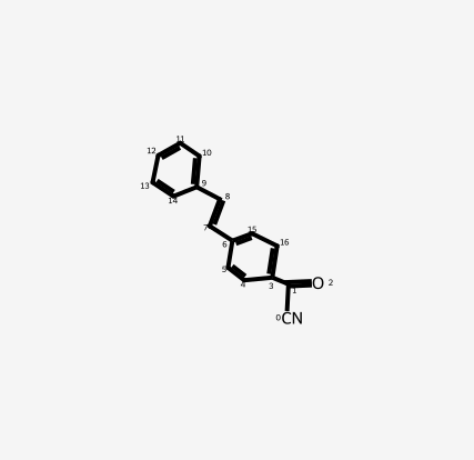 N#CC(=O)c1ccc(C=Cc2ccccc2)cc1